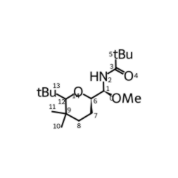 CO[C@H](NC(=O)C(C)(C)C)[C@H]1CCC(C)(C)C(C(C)(C)C)O1